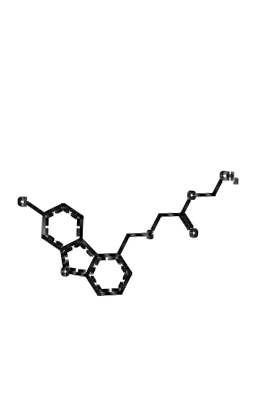 CCOC(=O)CSCc1cccc2oc3cc(Cl)ccc3c12